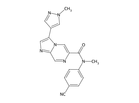 CN(C(=O)c1cn2c(-c3cnn(C)c3)cnc2cn1)c1ccc(C#N)cc1